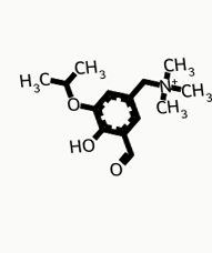 CC(C)Oc1cc(C[N+](C)(C)C)cc(C=O)c1O